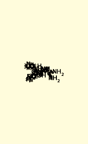 NCCN(CCN)C(=O)C[C@H](N)C(=O)N[C@H](C(=O)Nc1ccc2ncccc2c1)[C@H](O)C1=CC=C(C(F)(F)F)CC1